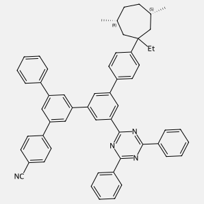 CCC1(c2ccc(-c3cc(-c4cc(-c5ccccc5)cc(-c5ccc(C#N)cc5)c4)cc(-c4nc(-c5ccccc5)nc(-c5ccccc5)n4)c3)cc2)C[C@H](C)CC[C@H](C)C1